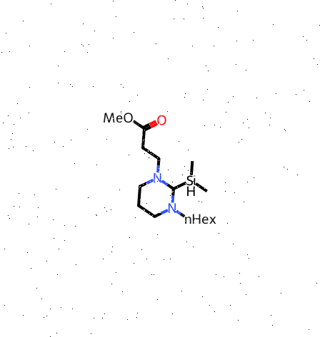 CCCCCCN1CCCN(CCC(=O)OC)C1[SiH](C)C